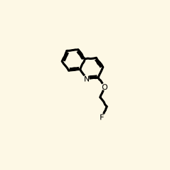 FCCOc1ccc2ccccc2n1